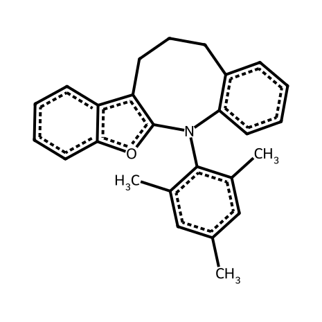 Cc1cc(C)c(N2c3ccccc3CCCc3c2oc2ccccc32)c(C)c1